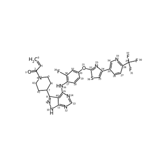 C=CC(=O)N1CCC(c2n[nH]c3ncnc(Nc4ccc(Oc5nc(-c6ccc(C(F)(F)F)nc6)cs5)cc4F)c23)CC1